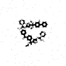 CCOC(C)(c1cccc(C(=O)c2ccccc2)c1)c1cc(/N=C(\N)N2CCOCC2)on1.COC(OC)(c1ccc(-c2ccccc2)c(F)c1)c1cc(/N=C(/N)N2CCOCC2)on1